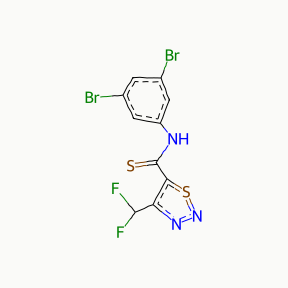 FC(F)c1nnsc1C(=S)Nc1cc(Br)cc(Br)c1